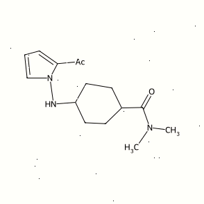 CC(=O)c1cccn1NC1CCC(C(=O)N(C)C)CC1